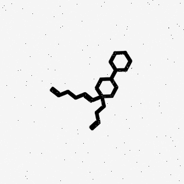 C=CCCC=CC1(CCC=C)CCC(C2CCCCC2)CC1